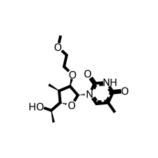 COCCO[C@@H]1[C@H](C)[C@@H]([C@@H](C)O)O[C@H]1n1cc(C)c(=O)[nH]c1=O